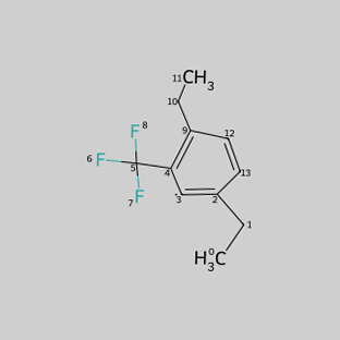 CCc1[c]c(C(F)(F)F)c(CC)cc1